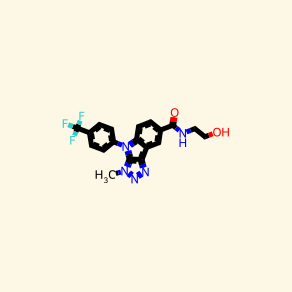 Cn1nnc2c3cc(C(=O)NCCO)ccc3n(-c3ccc(C(F)(F)F)cc3)c21